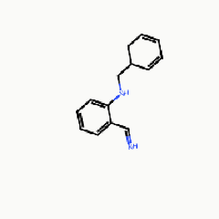 N=Cc1ccccc1NCC1C=CC=CC1